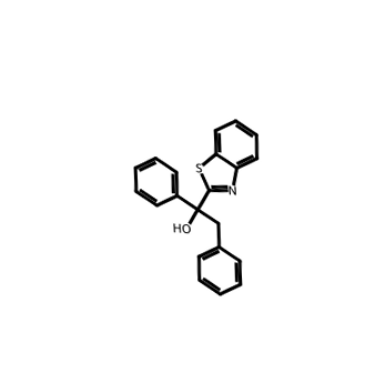 OC(Cc1ccccc1)(c1ccccc1)c1nc2ccccc2s1